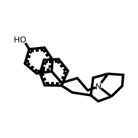 Oc1ccc(CCCN2C3CCC2CC(Cc2ccccc2)C3)cc1